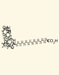 C=C(C)[C@@H]1CC[C@]2(C(=O)NCCCCCCCCCCCCCCCCC(=O)O)CC[C@]3(C)[C@H](CCC4[C@@]5(C)CC[C@H](OC(C)=O)C(C)(C)[C@@H]5CC[C@]43C)[C@@H]12